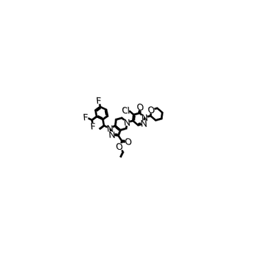 CCOC(=O)c1nn(C(C)c2ccc(F)cc2C(F)F)c2c1CN(c1cnn(C3CCCCO3)c(=O)c1Cl)CC2